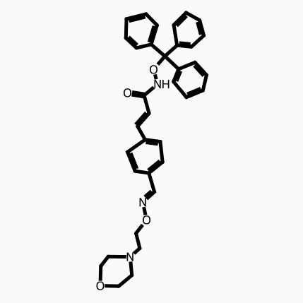 O=C(/C=C/c1ccc(/C=N/OCCN2CCOCC2)cc1)NOC(c1ccccc1)(c1ccccc1)c1ccccc1